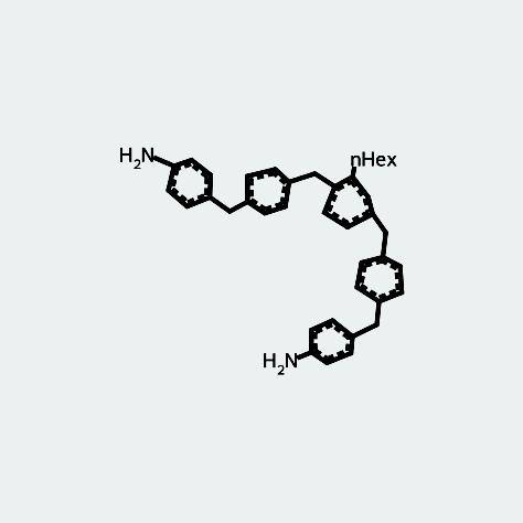 CCCCCCc1cc(Cc2ccc(Cc3ccc(N)cc3)cc2)ccc1Cc1ccc(Cc2ccc(N)cc2)cc1